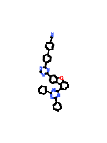 N#Cc1ccc(-c2ccc(-c3ncnc(-c4ccc5c(c4)oc4cccc(-c6nc(-c7ccccc7)nc(-c7ccccc7)n6)c45)n3)cc2)cc1